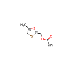 CCCC(=O)OC[C@@H]1O[C@H](C)CS1